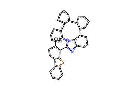 Cc1ccc2c(sc3ccccc32)c1-c1nc2cccc3c4ccccc4c4ccccc4c4ccccc4n1c23